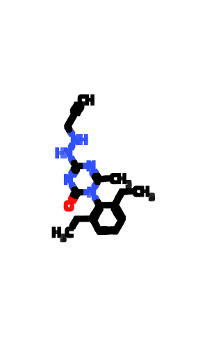 C#CCNNc1nc(C)n(-c2c(CC)cccc2CC)c(=O)n1